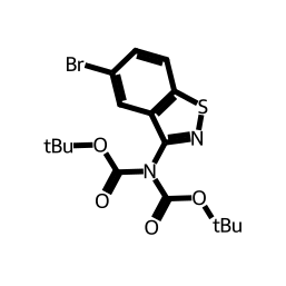 CC(C)(C)OC(=O)N(C(=O)OC(C)(C)C)c1nsc2ccc(Br)cc12